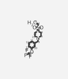 C=CS(=O)(=O)N1CCN(Cc2cccc(OC(F)(F)F)c2)CC1